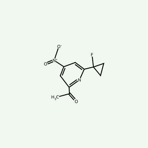 CC(=O)c1cc([N+](=O)[O-])cc(C2(F)CC2)n1